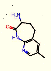 Cc1cnc2c(c1)CCC(N)C(=O)N2